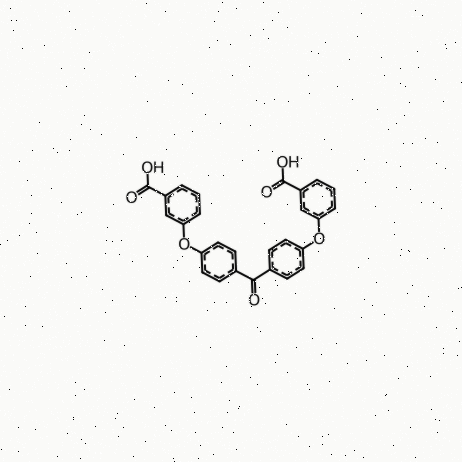 O=C(O)c1cccc(Oc2ccc(C(=O)c3ccc(Oc4cccc(C(=O)O)c4)cc3)cc2)c1